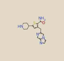 NC(=O)c1sc(C2CCNCC2)cc1Cc1cn2ccnc2cn1